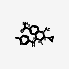 CC(=O)N1c2ccc(C(N)=O)cc2[C@H](Nc2ccc(C)nc2)[C@@H](C)[C@@H]1C1CC1